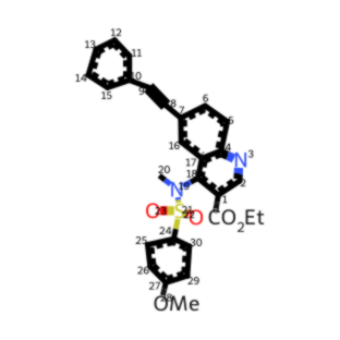 CCOC(=O)c1cnc2ccc(C#Cc3ccccc3)cc2c1N(C)S(=O)(=O)c1ccc(OC)cc1